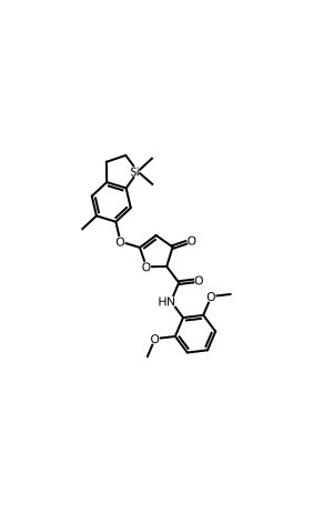 COc1cccc(OC)c1NC(=O)C1OC(Oc2cc3c(cc2C)CC[Si]3(C)C)=CC1=O